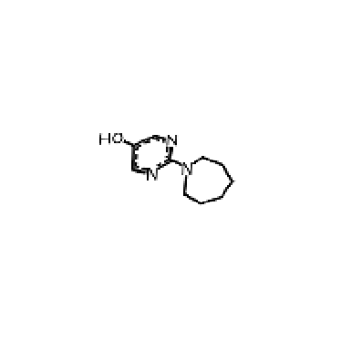 Oc1cnc(N2CCCCCC2)nc1